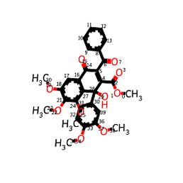 COC(=O)C1=C(C(=O)c2ccccc2)C(=O)c2cc(OC)c(OC)c(OC)c2C1(O)c1ccc(OC)c(OC)c1